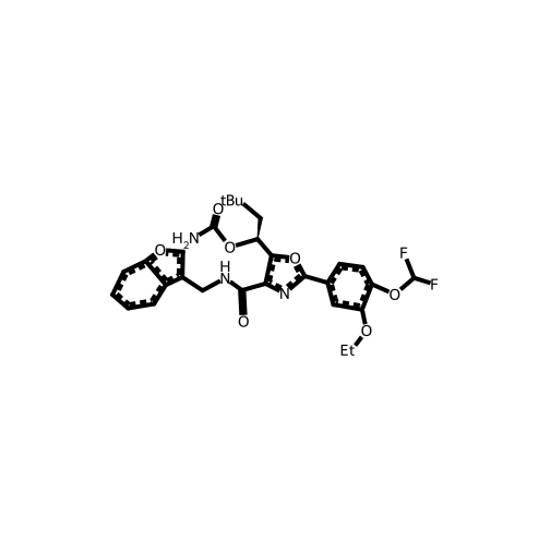 CCOc1cc(-c2nc(C(=O)NCc3coc4ccccc34)c([C@H](CC(C)(C)C)OC(N)=O)o2)ccc1OC(F)F